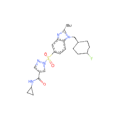 CC(C)(C)c1nc2cc(S(=O)(=O)n3cc(C(=O)NC4CC4)cn3)ccc2n1CC1CCC(F)CC1